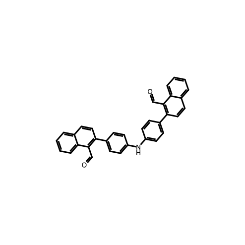 O=Cc1c(-c2ccc(Nc3ccc(-c4ccc5ccccc5c4C=O)cc3)cc2)ccc2ccccc12